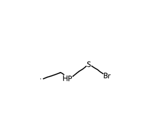 [CH2]CPSBr